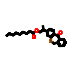 CCCCCCCCC(=O)OCC(C)c1ccc2c(c1)SCc1ccccc1C2=O